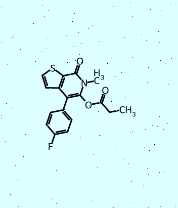 CCC(=O)Oc1c(-c2ccc(F)cc2)c2ccsc2c(=O)n1C